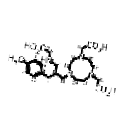 Cc1ccc(CC(CNCC(=O)O)CN2CCN(CC(=O)O)CCN(CC(=O)O)CC2)cc1